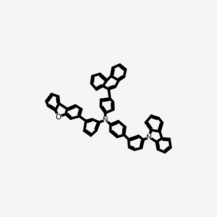 c1cc(-c2ccc3c(c2)oc2ccccc23)cc(N(c2ccc(-c3cccc(-n4c5ccccc5c5ccccc54)c3)cc2)c2ccc(-c3cc4ccccc4c4ccccc34)cc2)c1